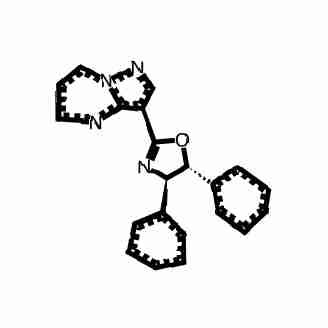 c1ccc([C@H]2N=C(c3cnn4cccnc34)O[C@@H]2c2ccccc2)cc1